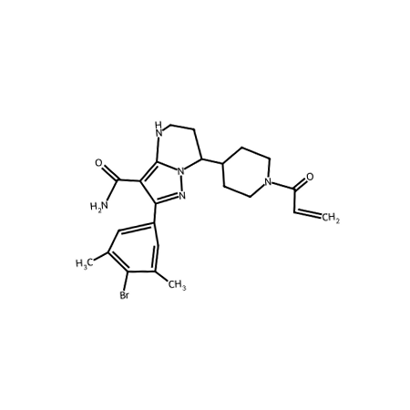 C=CC(=O)N1CCC(C2CCNc3c(C(N)=O)c(-c4cc(C)c(Br)c(C)c4)nn32)CC1